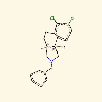 C[C@]12CCc3c(ccc(Cl)c3Cl)[C@H]1CN(Cc1ccccc1)C2